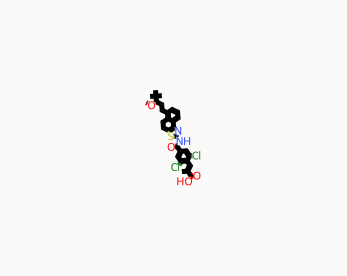 COC(CCc1cccc2c1CCc1sc(NC(=O)c3cc(Cl)c(C=C(C)C(=O)O)c(Cl)c3)nc1-2)C(C)(C)C